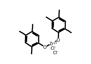 Cc1cc(C)c([O][Zr+2][O]c2cc(C)c(C)cc2C)cc1C.[Cl-].[Cl-]